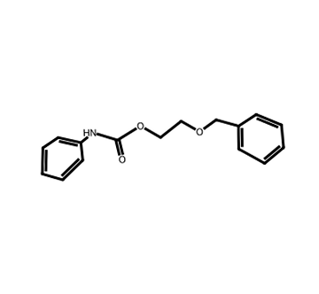 O=C(Nc1ccccc1)OCCOCc1ccccc1